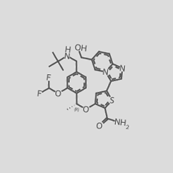 C[C@@H](Oc1cc(-c2cnc3ccc(CO)cn23)sc1C(N)=O)c1ccc(CNC(C)(C)C)cc1OC(F)F